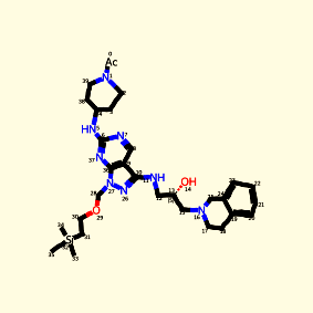 CC(=O)N1CCC(Nc2ncc3c(NC[C@H](O)CN4CCc5ccccc5C4)nn(COCC[Si](C)(C)C)c3n2)CC1